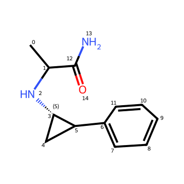 CC(N[C@H]1CC1c1ccccc1)C(N)=O